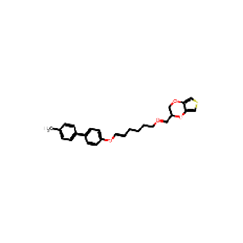 Cc1ccc(-c2ccc(OCCCCCCOCC3COc4cscc4O3)cc2)cc1